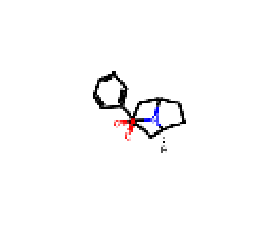 O=C1CC2CC[C@@H](C1)N2C(=O)c1ccccc1